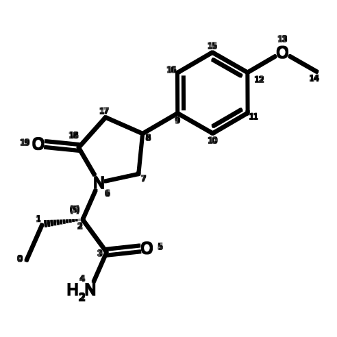 CC[C@@H](C(N)=O)N1CC(c2ccc(OC)cc2)CC1=O